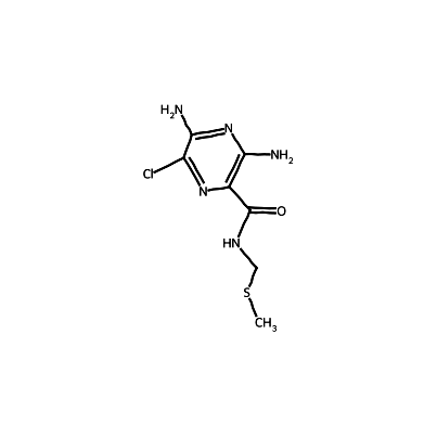 CSCNC(=O)c1nc(Cl)c(N)nc1N